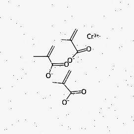 C=C(C)C(=O)[O-].C=C(C)C(=O)[O-].C=C(C)C(=O)[O-].[Cr+3]